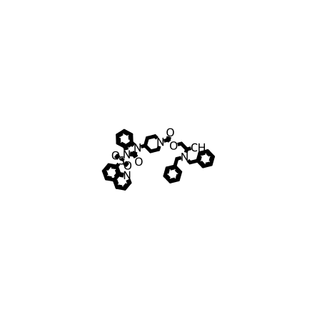 CC(COC(=O)N1CCC(n2c(=O)n(S(=O)(=O)c3cccc4cccnc34)c3ccccc32)CC1)N(Cc1ccccc1)Cc1ccccc1